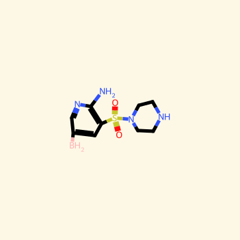 Bc1cnc(N)c(S(=O)(=O)N2CCNCC2)c1